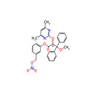 COC(c1ccccc1)(c1ccccc1)[C@H](Oc1nc(C)cc(C)n1)C(=O)Oc1cccc(CO[N+](=O)[O-])c1